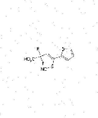 N#CSC(=CC(F)(F)C(=O)O)c1cccs1